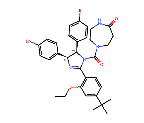 CCOc1cc(C(C)(C)C)ccc1C1=N[C@@H](c2ccc(Br)cc2)[C@@H](c2ccc(Br)cc2)N1C(=O)N1CCNC(=O)CC1